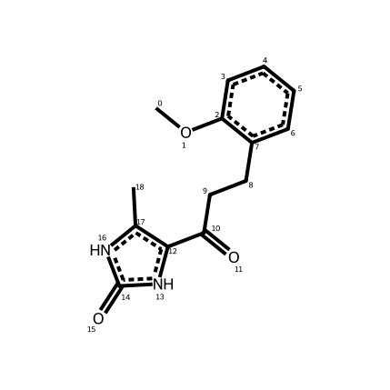 COc1ccccc1CCC(=O)c1[nH]c(=O)[nH]c1C